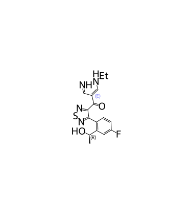 CCN/C=C(\C=N)C(=O)c1nsnc1-c1ccc(F)cc1[C@@H](C)O